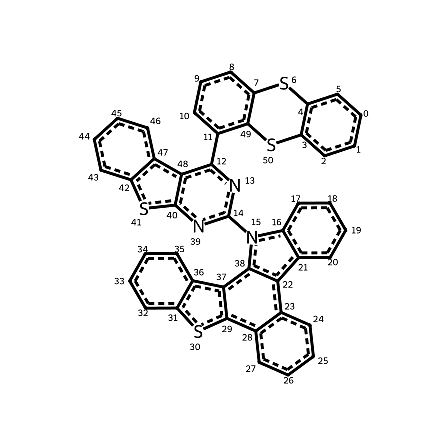 c1ccc2c(c1)Sc1cccc(-c3nc(-n4c5ccccc5c5c6ccccc6c6sc7ccccc7c6c54)nc4sc5ccccc5c34)c1S2